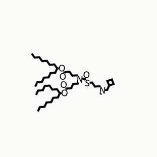 CCCCCCCC(CCCCCCC)OC(=O)CCCN(CCCC(=O)OC(CCCCCCC)CCCCCCC)C(=O)SCCCN(C)CC1CCC1